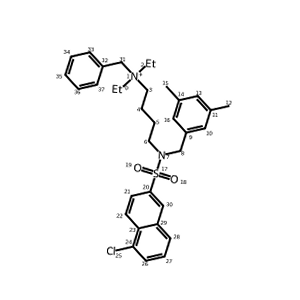 CC[N+](CC)(CCCCN(Cc1cc(C)cc(C)c1)S(=O)(=O)c1ccc2c(Cl)cccc2c1)Cc1ccccc1